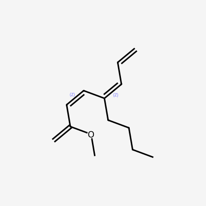 C=C/C=C(\C=C/C(=C)OC)CCCC